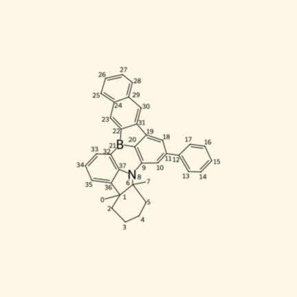 CC12CCCCC1(C)N1c3cc(-c4ccccc4)cc4c3B(c3cc5ccccc5cc3-4)c3cccc2c31